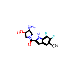 N#Cc1cc2cc(C(=O)N3C[C@@H](O)[C@@H](N)C3)[nH]c2c(F)c1F